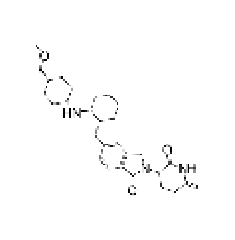 C=C1CCC(N2Cc3cc(C[C@H]4CCCC[C@@H]4N[C@H]4CC[C@H](COC)CC4)ccc3C2=O)C(=O)N1